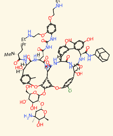 CCNCCOc1ccc(NC(=O)NC(=O)C[C@@H]2NC(=O)[C@H](NC(=O)[C@@H](CC(C)C)NC)[C@H](O)c3ccc(c(C)c3)Oc3cc4cc(c3O[C@@H]3O[C@H](CO)[C@@H](O)[C@H](O)[C@H]3O[C@H]3C[C@](C)(N)[C@H](O)[C@H](C)O3)Oc3ccc(cc3Cl)[C@@H](O)[C@@H]3NC(=O)[C@H](NC(=O)[C@@H]4NC2=O)c2ccc(O)c(c2)-c2c(C)cc(O)cc2[C@@H](C(=O)NC2C4CC5CC(C4)CC2C5)NC3=O)c(OCCNCC)c1